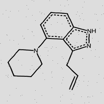 C=CCc1n[nH]c2cccc(N3CCCCC3)c12